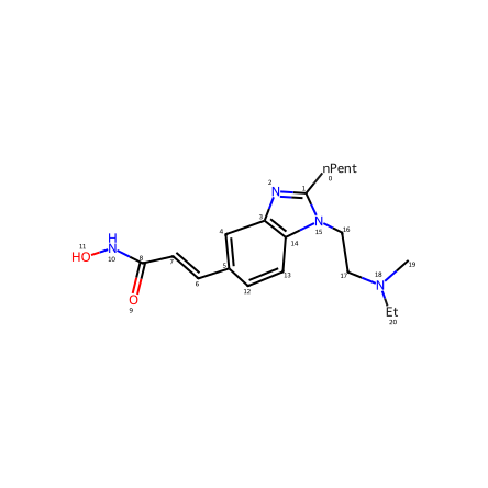 CCCCCc1nc2cc(C=CC(=O)NO)ccc2n1CCN(C)CC